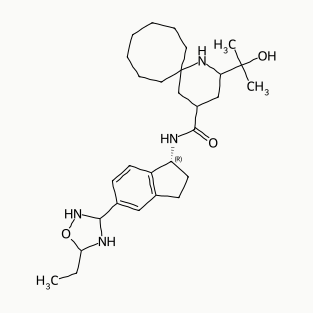 CCC1NC(c2ccc3c(c2)CC[C@H]3NC(=O)C2CC(C(C)(C)O)NC3(CCCCCCC3)C2)NO1